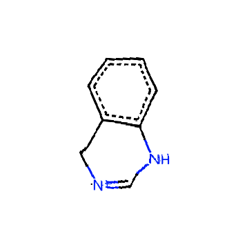 C1=[N+]Cc2ccccc2N1